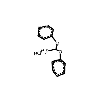 Cl.PC(Oc1ccccc1)Oc1ccccc1